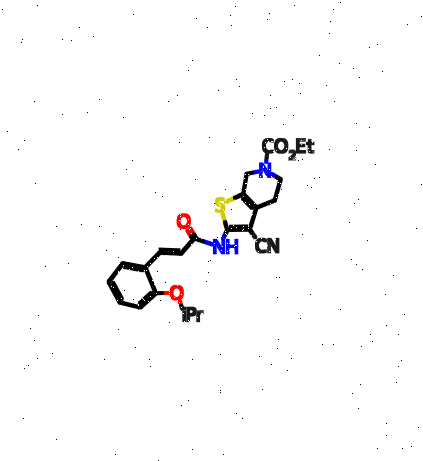 CCOC(=O)N1CCc2c(sc(NC(=O)/C=C/c3ccccc3OC(C)C)c2C#N)C1